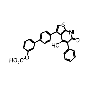 O=C(O)Oc1cccc(-c2ccc(-c3csc4[nH]c(=O)c(-c5ccccc5)c(O)c34)cc2)c1